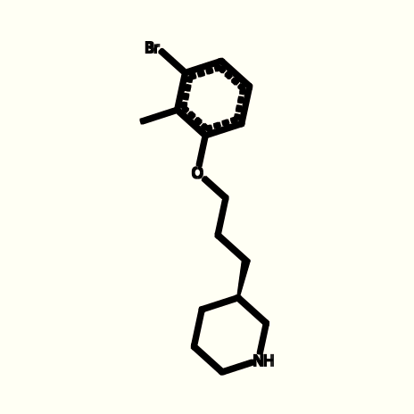 Cc1c(Br)cccc1OCCC[C@@H]1CCCNC1